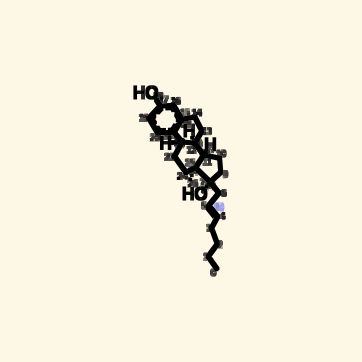 CCCC/C=C/C[C@]1(O)CC[C@H]2[C@@H]3CCc4cc(O)ccc4[C@H]3CC[C@@]21C